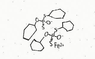 [Fe+2].[O-]P(=S)(OC1CCCCC1)SC1CCCCC1.[O-]P(=S)(OC1CCCCC1)SC1CCCCC1